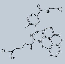 CCN(CC)CCCNc1nc(-c2cc(C(=O)NCC3CC3)ccc2C)c2ccc(=O)n(-c3c(F)cccc3F)c2n1